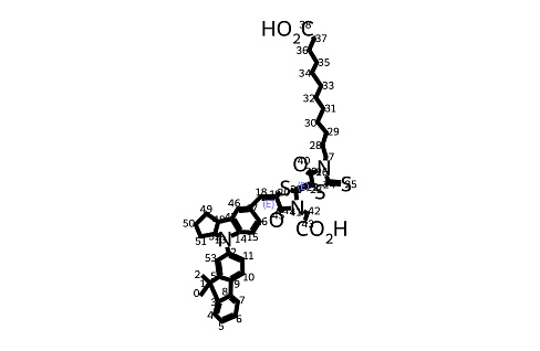 CC1(C)c2ccccc2-c2ccc(N3c4ccc(/C=c5/s/c(=C6/SC(=S)N(CCCCCCCCCCCC(=O)O)C6=O)n(CC(=O)O)c5=O)cc4C4CCCC43)cc21